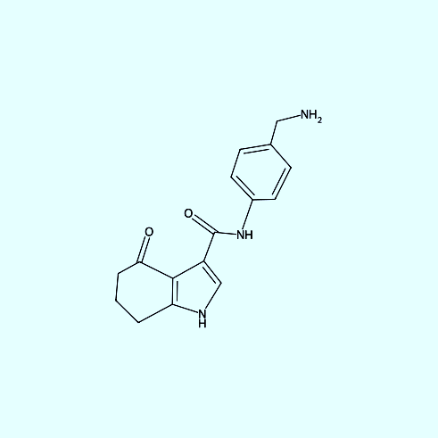 NCc1ccc(NC(=O)c2c[nH]c3c2C(=O)CCC3)cc1